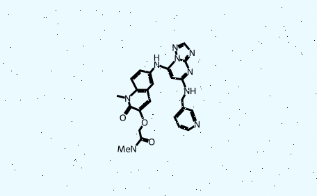 CNC(=O)COc1cc2cc(Nc3cc(NCc4cccnc4)nc4ncnn34)ccc2n(C)c1=O